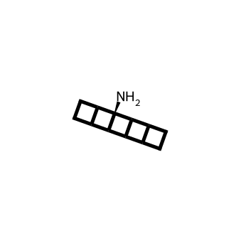 N[C@]12C3CCC3C1C1C3CCC3C12